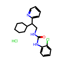 Cl.O=C(NCC(c1ccccn1)C1CCCCC1)Nc1ccccc1Cl